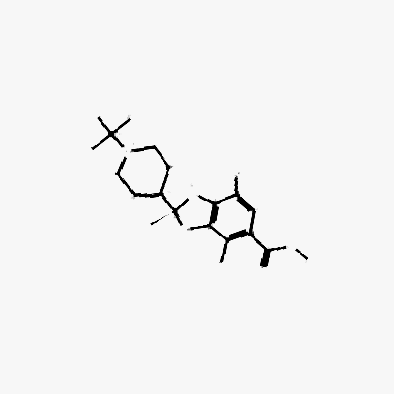 COC(=O)c1cc(Br)c2c(c1C)O[C@](C)(C1CCN(C(C)(C)C)CC1)O2